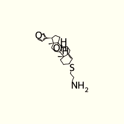 C[C@]12CC[C@H](SCCCN)C=C1CC[C@@H]1[C@@H]2CC[C@]2(C)[C@@H](c3ccoc3)CC[C@]12O